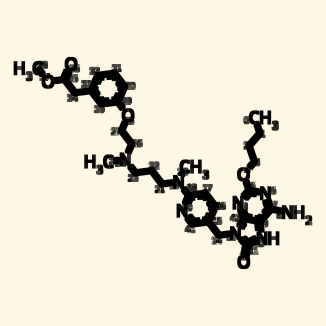 CCCCOc1nc(N)c2[nH]c(=O)n(Cc3ccc(N(C)CCCN(C)CCOc4cccc(CC(=O)OC)c4)nc3)c2n1